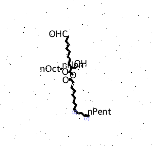 CCCCC/C=C\C/C=C\CCCCCCCC(=O)OC(OC(CCCCCCCC)CCCCCCCCC)C(CO)CCCCCCCCC=O